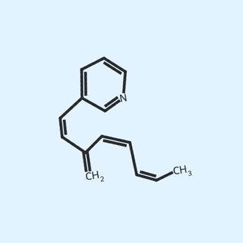 C=C(/C=C\C=C/C)/C=C\c1cccnc1